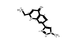 Cn1cc(-c2ccc3c(=O)cc(CN)oc3c2)nn1